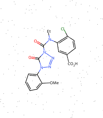 CCN(C(=O)n1nnn(-c2ccccc2OC)c1=O)c1cc(C(=O)O)ccc1Cl